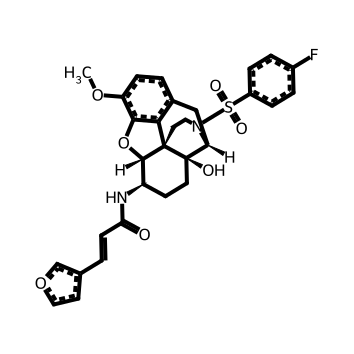 COc1ccc2c3c1O[C@H]1[C@H](NC(=O)/C=C/c4ccoc4)CC[C@@]4(O)[C@@H](C2)N(S(=O)(=O)c2ccc(F)cc2)CC[C@]314